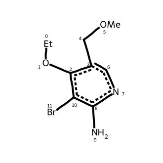 CCOc1c(COC)cnc(N)c1Br